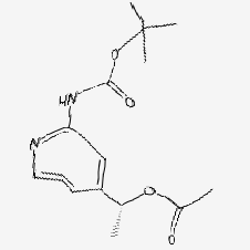 CC(=O)O[C@H](C)c1ccnc(NC(=O)OC(C)(C)C)c1